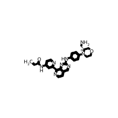 C=CC(=O)Nc1ccnc(-c2nccc3cnc(Nc4ccc(N5CCOC[C@H]5CN)cc4)nc23)c1